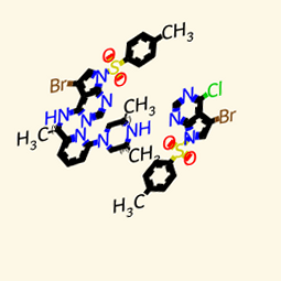 Cc1ccc(S(=O)(=O)n2cc(Br)c3c(Cl)ncnc32)cc1.Cc1ccc(S(=O)(=O)n2cc(Br)c3c(N[C@@H](C)c4cccc(N5C[C@@H](C)N[C@@H](C)C5)n4)ncnc32)cc1